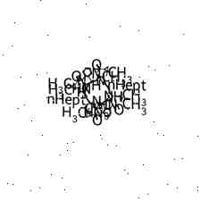 CCCCCCCc1c2nc(c(-c3c(NC(=O)[C@H]4CC4(C)C)cccc3NC(=O)[C@@H]3CC3(C)C)c3ccc([nH]3)c(CCCCCCC)c3nc(c(-c4c(NC(=O)[C@H]5CC5(C)C)cccc4NC(=O)[C@H]4CC4(C)C)c4ccc1[nH]4)C=C3)C=C2